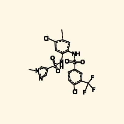 Cc1cc(NS(=O)(=O)c2ccc(Cl)c(C(F)(F)F)c2)c(NS(=O)(=O)c2cnn(C)c2)cc1Cl